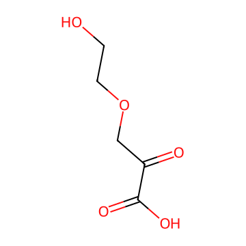 O=C(O)C(=O)COCCO